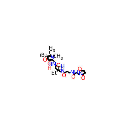 CCC(C)c1c(C)n(C)c(CNC(=O)CC(CC)(CC)CNC(=O)CCNC(=O)CCN2C(=O)C=CC2=O)c(O)c1=O